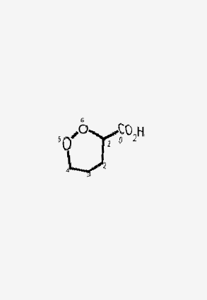 O=C(O)C1CCCOO1